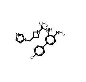 C=C(Nc1cc(-c2ccc(F)cc2)ccc1N)N1CC(Cn2ccnc2)C1